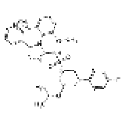 COc1cccc(OC)c1-n1c(NS(=O)(=O)[C@H]2C[C@H](OC(C)C)CN(c3ncc(F)cn3)C2)nnc1-c1cccnc1